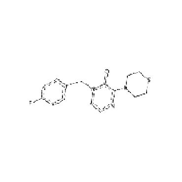 O=c1c(N2CCSCC2)nccn1Cc1ccc(F)cc1